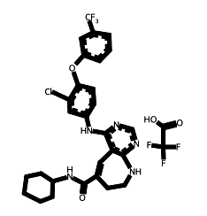 O=C(NC1CCCCC1)C1=Cc2c(ncnc2Nc2ccc(Oc3cccc(C(F)(F)F)c3)c(Cl)c2)NCC1.O=C(O)C(F)(F)F